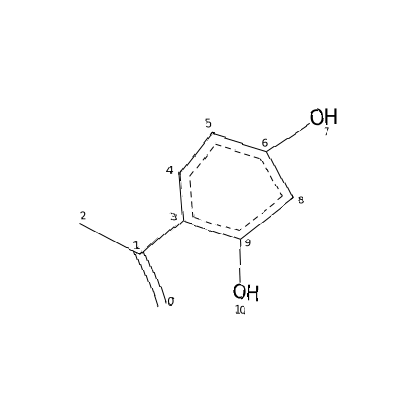 C=C(C)c1ccc(O)cc1O